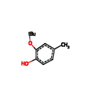 Cc1ccc(O)c(OC(C)(C)C)c1